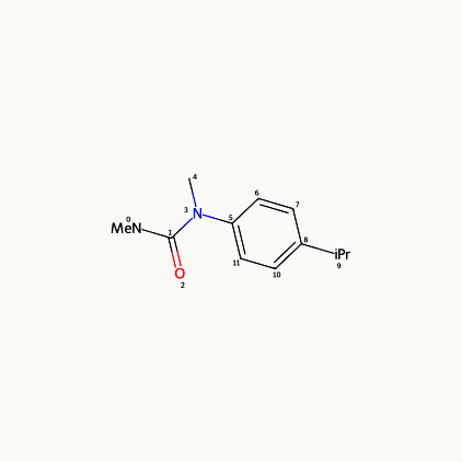 CNC(=O)N(C)c1ccc(C(C)C)cc1